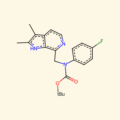 Cc1[nH]c2c(CN(C(=O)OC(C)(C)C)c3ccc(F)cc3)nccc2c1C